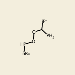 CCCCPOOC(P)C(C)C